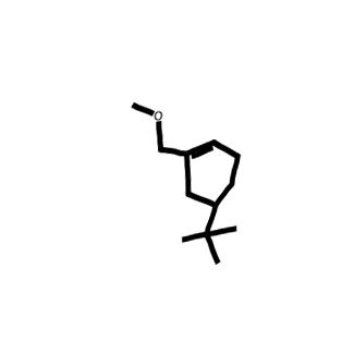 COCC1=CCCC(C(C)(C)C)C1